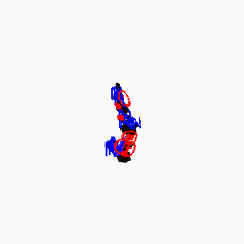 CCC(C)n1ncn(-c2ccc(N3CCN(c4ccc(OC[C@@H]5CO[C@@](Cn6nccn6)(c6ccccc6)O5)cc4C#N)CC3)cc2)c1=O